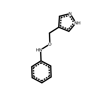 c1ccc(NOCc2cn[nH]c2)cc1